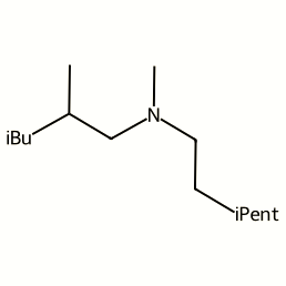 CCCC(C)CCN(C)CC(C)C(C)CC